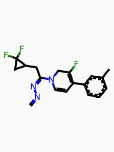 C=N/N=C(/CC1CC1(F)F)N1C=CC(c2cccc(C)c2)=C(F)C1